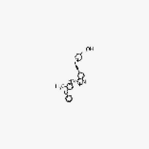 Cc1cc(Nc2ncnc3ccc(C#CCN4CCC(CCO)CC4)cc23)ccc1Oc1ccccc1